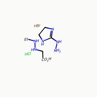 Br.CCNNCC(=O)O.Cl.NNC1=NCCN1